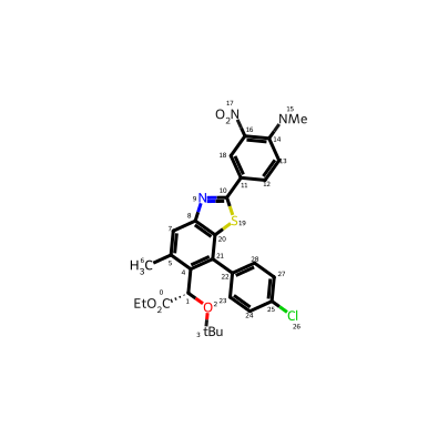 CCOC(=O)[C@@H](OC(C)(C)C)c1c(C)cc2nc(-c3ccc(NC)c([N+](=O)[O-])c3)sc2c1-c1ccc(Cl)cc1